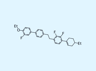 CCOc1ccc(-c2ccc(CCc3ccc(C4=CCC(CC)CC4)c(F)c3F)cc2)cc1F